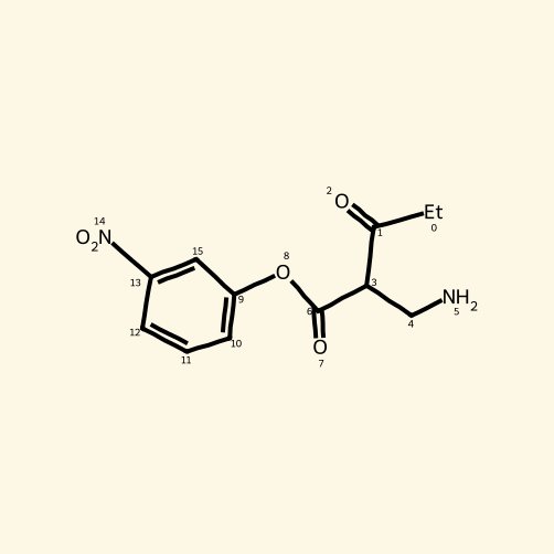 CCC(=O)C(CN)C(=O)Oc1cccc([N+](=O)[O-])c1